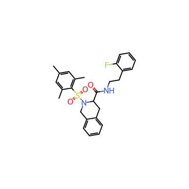 Cc1cc(C)c(S(=O)(=O)N2Cc3ccccc3CC2C(=O)NCCc2ccccc2F)c(C)c1